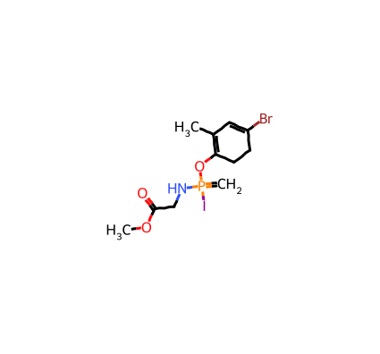 C=P(I)(NCC(=O)OC)OC1=C(C)C=C(Br)CC1